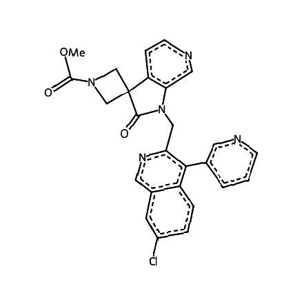 COC(=O)N1CC2(C1)C(=O)N(Cc1ncc3cc(Cl)ccc3c1-c1cccnc1)c1cnccc12